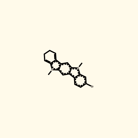 Cn1c2c(c3cc4c(cc31)c1ccc(Br)cc1n4C)=CCCC=2